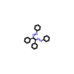 c1ccc(N=NC(=C(N=Nc2ccccc2)c2ccccc2)c2ccccc2)cc1